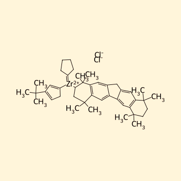 CC(C)(C)C1=CC[C]([Zr+2](=[C]2CCCC2)[CH]2CC(C)(C)c3cc4c(cc3C2(C)C)Cc2cc3c(cc2-4)C(C)(C)CCC3(C)C)=C1.[Cl-].[Cl-]